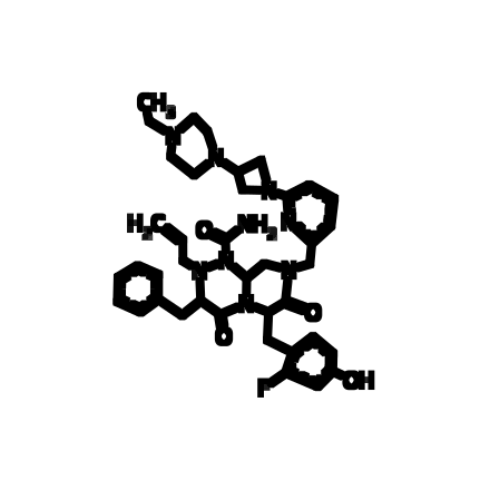 C=CCN1C(Cc2ccccc2)C(=O)N2C(Cc3ccc(O)cc3F)C(=O)N(Cc3cccc(N4CC(N5CCN(CC)CC5)C4)n3)CC2N1C(N)=O